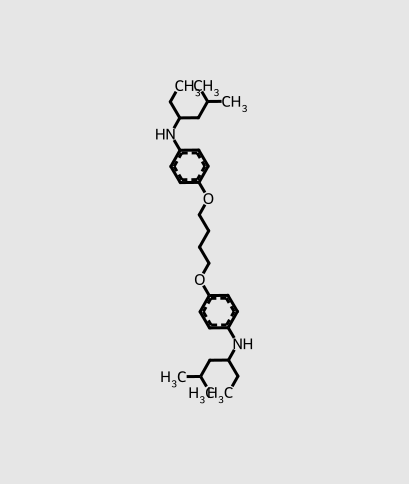 CCC(CC(C)C)Nc1ccc(OCCCCOc2ccc(NC(CC)CC(C)C)cc2)cc1